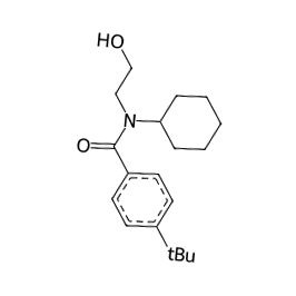 CC(C)(C)c1ccc(C(=O)N(CCO)C2CCCCC2)cc1